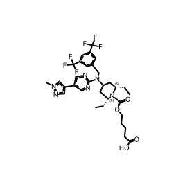 CC[C@@H]1CC(N(Cc2cc(C(F)(F)F)cc(C(F)(F)F)c2)c2ncc(-c3cnn(C)c3)cn2)C[C@H](CC)N1C(=O)OCCCCC(=O)O